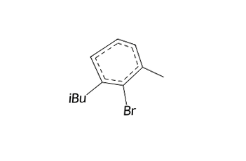 CCC(C)c1cccc(C)c1Br